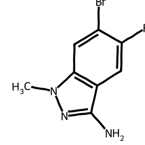 Cn1nc(N)c2cc(F)c(Br)cc21